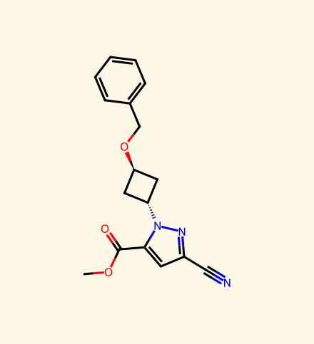 COC(=O)c1cc(C#N)nn1[C@H]1C[C@H](OCc2ccccc2)C1